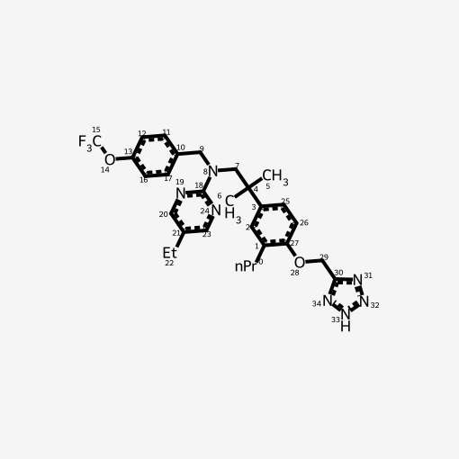 CCCc1cc(C(C)(C)CN(Cc2ccc(OC(F)(F)F)cc2)c2ncc(CC)cn2)ccc1OCc1nn[nH]n1